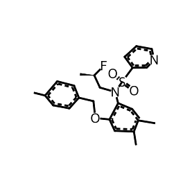 Cc1ccc(COc2cc(C)c(C)cc2N(C[C@@H](C)F)S(=O)(=O)c2cccnc2)cc1